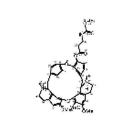 COc1cc2c3cc1Oc1c(OC)c(OC)cc4c1[C@@H](Cc1ccc(OC(=O)CCNC(=O)OC(C)(C)C)c(c1)Oc1ccc(cc1)C[C@@H]3N(C)CC2)N(C)CC4